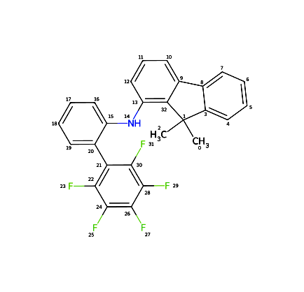 CC1(C)c2ccccc2-c2cccc(Nc3ccccc3-c3c(F)c(F)c(F)c(F)c3F)c21